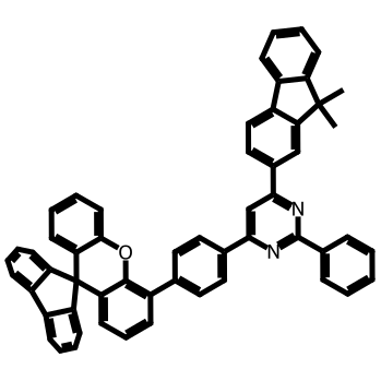 CC1(C)c2ccccc2-c2ccc(-c3cc(-c4ccc(-c5cccc6c5Oc5ccccc5C65c6ccccc6-c6ccccc65)cc4)nc(-c4ccccc4)n3)cc21